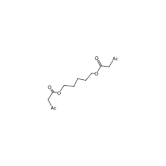 CC(=O)CC(=O)OCCCCCOC(=O)CC(C)=O